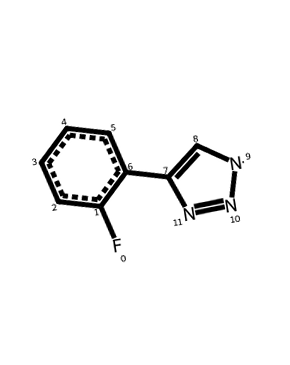 Fc1ccccc1C1=C[N]N=N1